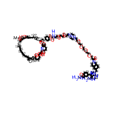 CO[C@H]1C[C@@H]2CCC[C@@](O)(O2)C(=O)C(=O)N2CCCC[C@H]2C(=O)O[C@H](CC[C@H]2CC[C@H](OC(=O)NCCOCCOCCN3CCN(CCOCCOCCOCCOCCC(=O)N4CCc5cc(Cn6nc(-c7ccc8oc(N)cc8c7)c7c(N)ncnc76)ccc5C4)CC3)CC2)CC[C@H](C)/C=C(\C)[C@@H](O)[C@@H](OC)C(=O)[C@H](C)C[C@H](C)/C=C/C=C/C=C/1C